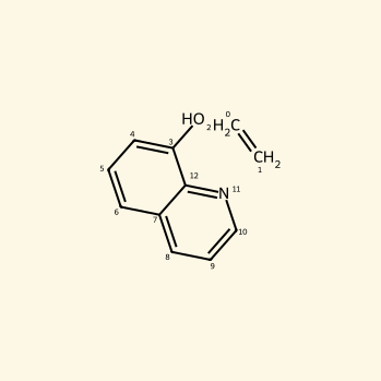 C=C.Oc1cccc2cccnc12